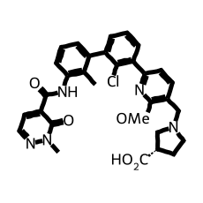 COc1nc(-c2cccc(-c3cccc(NC(=O)c4ccnn(C)c4=O)c3C)c2Cl)ccc1CN1CC[C@H](C(=O)O)C1